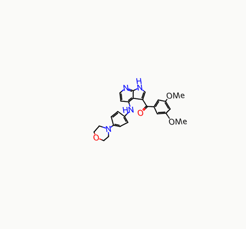 COc1cc(OC)cc(C(=O)c2c[nH]c3nccc(Nc4ccc(N5CCOCC5)cc4)c23)c1